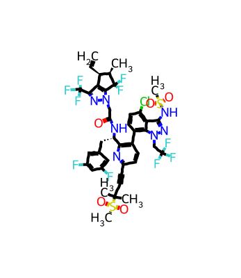 C=C[C@@H]1c2c(C(F)(F)F)nn(CC(=O)N[C@@H](Cc3cc(F)cc(F)c3)c3nc(C#CC(C)(C)S(C)(=O)=O)ccc3-c3ccc(Cl)c4c(NS(C)(=O)=O)nn(CC(F)(F)F)c34)c2C(F)(F)[C@@H]1C